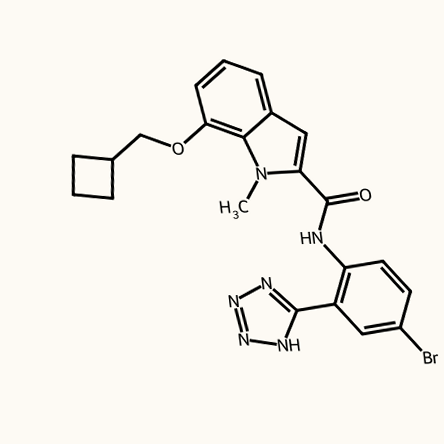 Cn1c(C(=O)Nc2ccc(Br)cc2-c2nnn[nH]2)cc2cccc(OCC3CCC3)c21